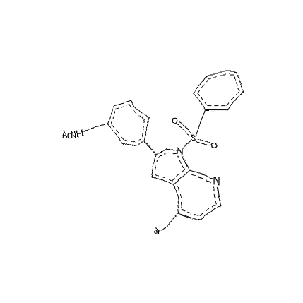 CC(=O)Nc1cccc(-c2cc3c(Br)ccnc3n2S(=O)(=O)c2ccccc2)c1